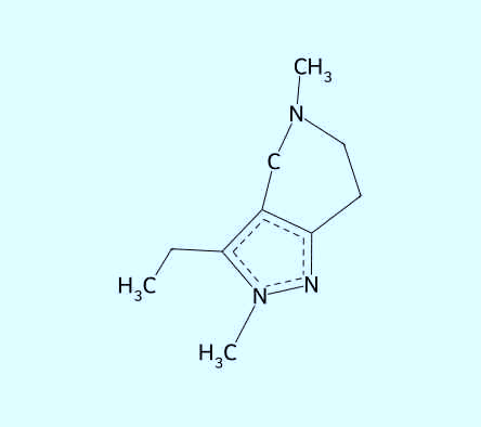 CCc1c2c(nn1C)CCN(C)C2